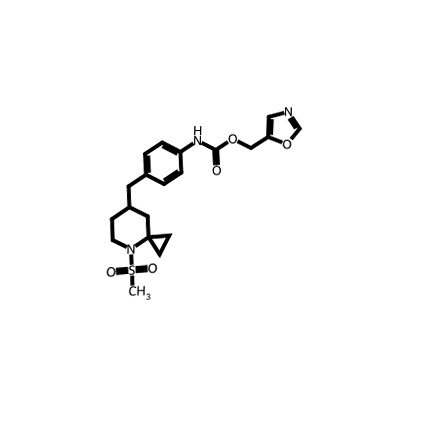 CS(=O)(=O)N1CCC(Cc2ccc(NC(=O)OCc3cnco3)cc2)CC12CC2